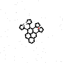 c1csc(-c2c(-c3cccs3)c3ccc4cccc5cc(-c6cccs6)c(c2-c2cccs2)c3c45)c1